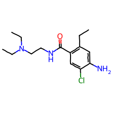 CCc1cc(N)c(Cl)cc1C(=O)NCCN(CC)CC